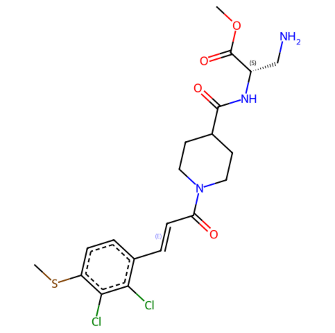 COC(=O)[C@H](CN)NC(=O)C1CCN(C(=O)/C=C/c2ccc(SC)c(Cl)c2Cl)CC1